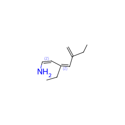 C=C(/C=C(\C=C/N)CC)CC